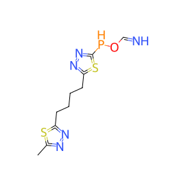 Cc1nnc(CCCCc2nnc(POC=N)s2)s1